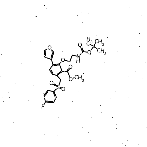 COC(=O)c1c(CS(=O)(=O)c2ccc(F)cc2)ccc(-c2ccoc2)c1OCCNC(=O)OC(C)(C)C